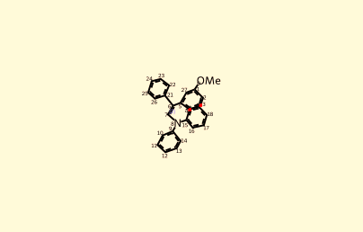 COc1cccc(/C(=C\N(c2ccccc2)c2ccccc2)c2ccccc2)c1